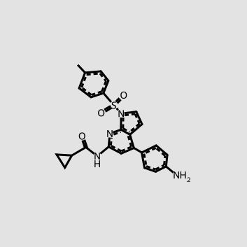 Cc1ccc(S(=O)(=O)n2ccc3c(-c4ccc(N)cc4)cc(NC(=O)C4CC4)nc32)cc1